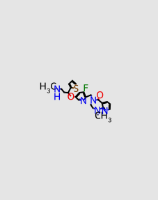 CNCCC(Oc1cnc(CN2CCN(C)c3ncccc3C2=O)c(F)c1)c1cccs1